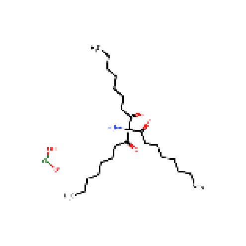 CCCCCCCC(=O)C(N)(C(=O)CCCCCCC)C(=O)CCCCCCC.[O-][Cl+]O